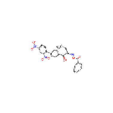 CC/C(=N/OC(=O)c1ccccc1)C(=O)c1ccc(-c2ccc([N+](=O)[O-])cc2[N+](=O)[O-])cc1